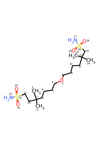 CC(C)(CCCCOCCCCC(C)(C)CS(N)(=O)=O)CCS(N)(=O)=O